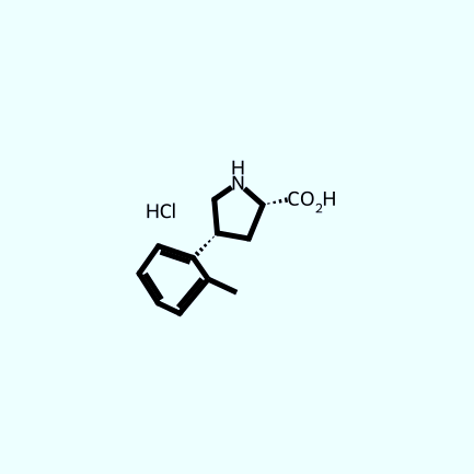 Cc1ccccc1[C@@H]1CN[C@H](C(=O)O)C1.Cl